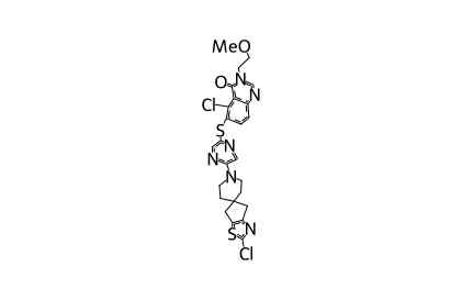 COCCn1cnc2ccc(Sc3cnc(N4CCC5(CC4)Cc4nc(Cl)sc4C5)cn3)c(Cl)c2c1=O